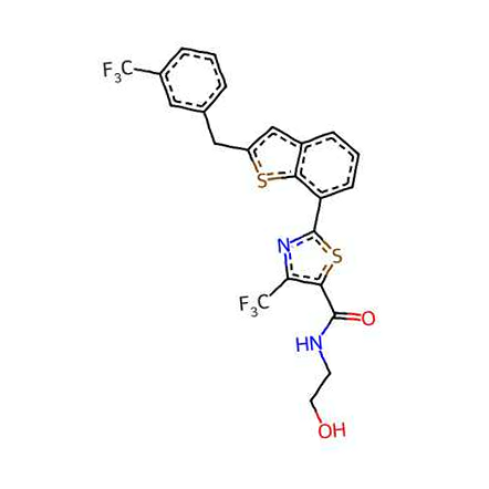 O=C(NCCO)c1sc(-c2cccc3cc(Cc4cccc(C(F)(F)F)c4)sc23)nc1C(F)(F)F